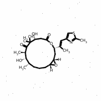 C/C(=C\c1csc(C)n1)[C@@H]1C[C@@H]2O[C@@H]2CCC[C@H](C)[C@H](O)[C@@H](C)C(=O)C(C)(C)[C@H](O)CC(=O)O1